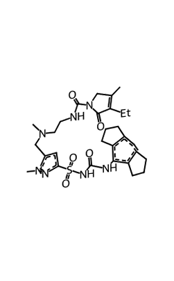 CCC1=C(C)CN(C(=O)NCCN(C)Cc2cc(S(=O)(=O)NC(=O)Nc3c4c(cc5c3CCC5)CCC4)nn2C)C1=O